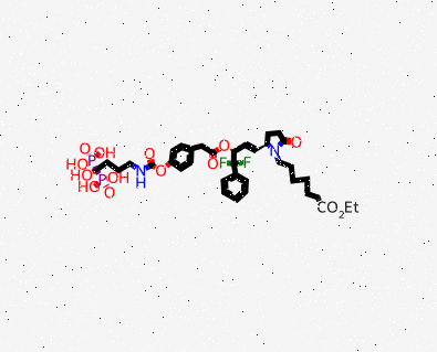 CCOC(=O)CCCCCCN1C(=O)CC[C@@H]1/C=C/[C@@H](OC(=O)Cc1ccc(OC(=O)NCCCC(O)(P(=O)(O)O)P(=O)(O)O)cc1)C(F)(F)c1ccccc1